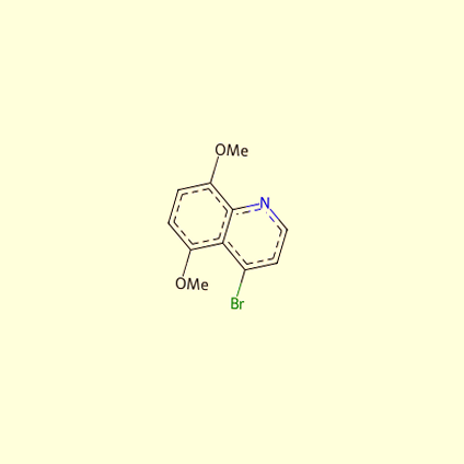 COc1ccc(OC)c2c(Br)ccnc12